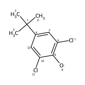 CC(C)(C)c1cc(Cl)c([O])c(Cl)c1